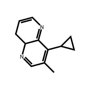 CC1=C(C2CC2)C2=NC=CCC2N=C1